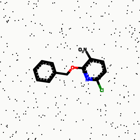 O=[N+]([O-])c1ccc(Cl)nc1OCc1ccccc1